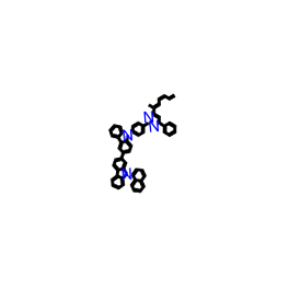 C=C/C=C\C=C(/C)c1cc(-c2ccccc2)nc(-c2ccc(-n3c4ccccc4c4cc(-c5ccc6c7ccccc7n(-c7cccc8ccccc78)c6c5)ccc43)cc2)n1